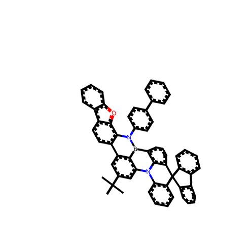 CC(C)(C)c1cc2c3c(c1)N1c4ccccc4C4(c5ccccc5-c5ccccc54)c4cccc(c41)B3N(c1ccc(-c3ccccc3)cc1)c1c-2ccc2c1oc1ccccc12